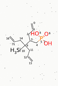 C=CCC(CP(=O)(O)O)C([SiH3])(CC=C)CC=C